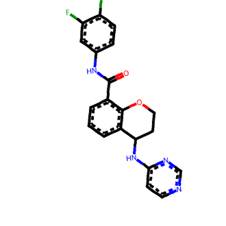 O=C(Nc1ccc(F)c(F)c1)c1cccc2c1OCCC2Nc1ccncn1